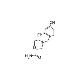 N#Cc1ccc(CN2CCO[C@@H](C(N)=O)C2)c(Cl)c1